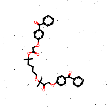 CC(C)(CCCCOC(C)(C)C(=O)COc1ccc(C(=O)c2ccccc2)cc1)OC(=O)COc1ccc(C(=O)c2ccccc2)cc1